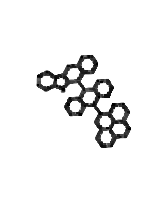 c1ccc2c(-c3c4ccccc4c(-c4cc5cccc6ccc7cccc4c7c65)c4ccccc34)c3sc4ccccc4c3cc2c1